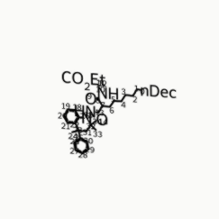 CCCCCCCCCCCCCCCCC(C(=O)NCC(=O)OCC)C(=O)NN1c2ccccc2C(C)(c2ccccc2)CC1(C)C